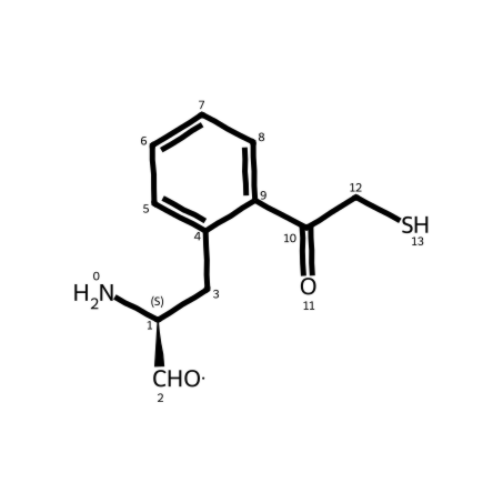 N[C@H]([C]=O)Cc1ccccc1C(=O)CS